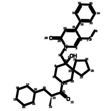 CSc1cn(CC2(O)CCN(C(=O)[C@H](C)CC3CCCCC3)CC23CCCC3)c(=O)cc1-c1ccccc1